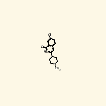 CN1CCC(c2cc3ccc(Cl)cc3c(=O)[nH]2)CC1